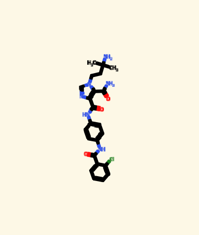 CC(C)(N)CCn1cnc(C(=O)Nc2ccc(NC(=O)c3ccccc3Cl)cc2)c1C(N)=O